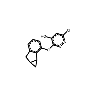 Oc1cc(Cl)nnc1Oc1cccc2c1C1CC1C2